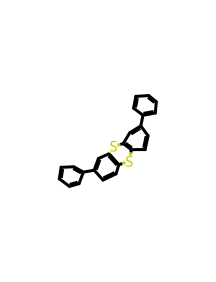 c1ccc(-c2ccc3c(c2)Sc2cc(-c4ccccc4)ccc2S3)cc1